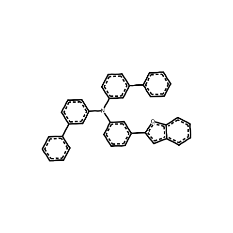 c1ccc(-c2cccc(N(c3cccc(-c4ccccc4)c3)c3cccc(-c4cc5ccccc5o4)c3)c2)cc1